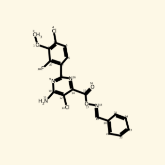 COc1c(Cl)ccc(-c2nc(N)c(Cl)c(C(=O)O/N=C/c3ccccc3)n2)c1F